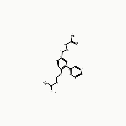 CC(C)CCOc1ccc(CCCC(=O)O)cc1-c1ccccc1